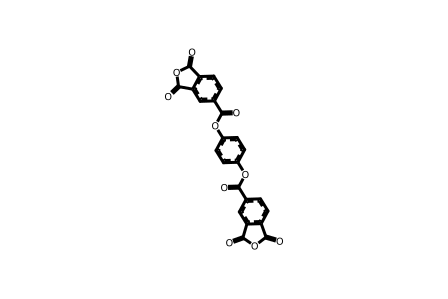 O=C(Oc1ccc(OC(=O)c2ccc3c(c2)C(=O)OC3=O)cc1)c1ccc2c(c1)C(=O)OC2=O